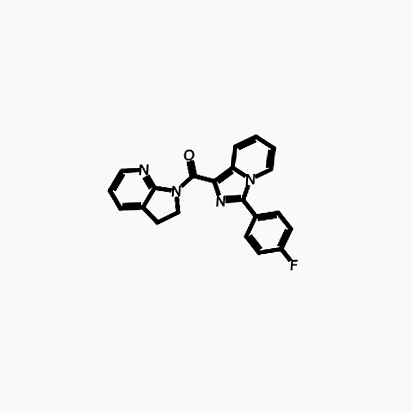 O=C(c1nc(-c2ccc(F)cc2)n2ccccc12)N1CCc2cccnc21